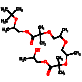 CC(O)COC(=O)C(C)(C)OC(C)COC(C)COC(C)(C)C(=O)OCC(C)OC(C)(C)C